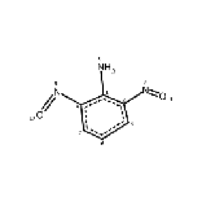 Nc1c(N=O)cccc1N=O